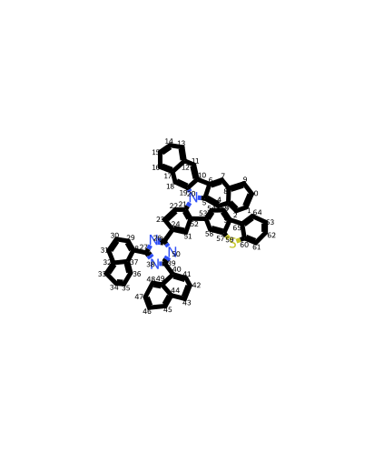 c1ccc2cc3c(cc2c1)c1cc2ccccc2cc1n3-c1ccc(-c2nc(-c3cccc4ccccc34)nc(-c3cccc4ccccc34)n2)cc1-c1ccc2c(c1)sc1ccccc12